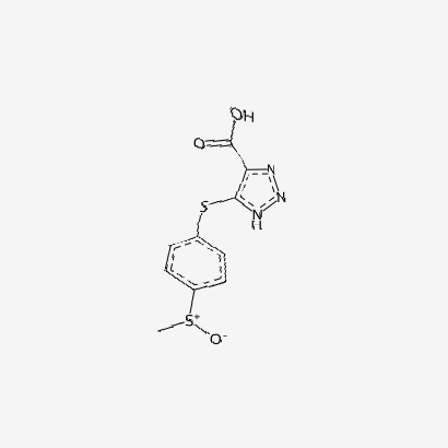 C[S+]([O-])c1ccc(Sc2[nH]nnc2C(=O)O)cc1